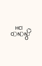 Cl.O=C1Cc2ccccc2N1C1CCN(C2CCOCC2)CC1